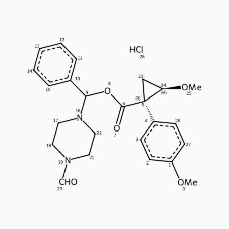 COc1ccc([C@]2(C(=O)OC(c3ccccc3)N3CCN(C=O)CC3)C[C@H]2OC)cc1.Cl